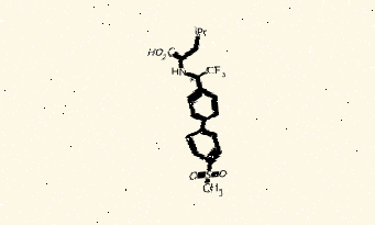 CC(C)CC(N[C@H](c1ccc(-c2ccc(S(C)(=O)=O)cc2)cc1)C(F)(F)F)C(=O)O